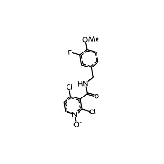 COc1ccc(CNC(=O)c2c(Cl)cc[n+]([O-])c2Cl)cc1F